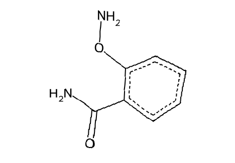 NOc1ccccc1C(N)=O